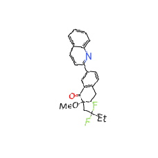 CCC(F)(F)CC1(OC)CCc2ccc(-c3ccc4ccccc4n3)cc2C1=O